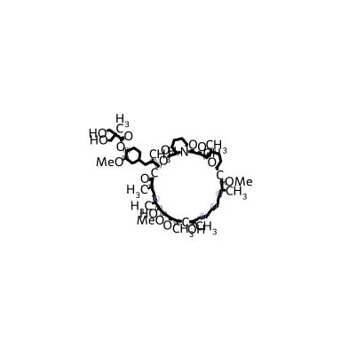 CO[C@H]1CC2CC[C@@H](C)[C@@](O)(O2)C(=O)C(=O)N2CCCC[C@H]2C(=O)O[C@H]([C@H](C)CC2CC[C@@H](OC(=O)C(C)(CO)CO)[C@H](OC)C2)CC(=O)[C@H](C)/C=C(\C)[C@@H](O)[C@@H](OC)C(=O)[C@H](C)C[C@@](C)(O)/C=C/C=C/C=C/1C